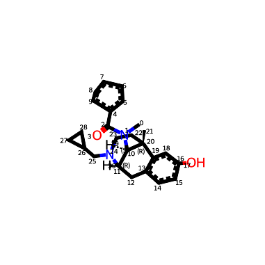 CN(C(=O)c1ccccc1)[C@@H]1[C@H]2Cc3ccc(O)cc3[C@@]1(C)CCN2CC1CC1